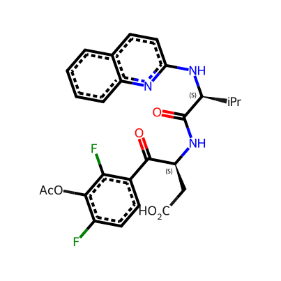 CC(=O)Oc1c(F)ccc(C(=O)[C@H](CC(=O)O)NC(=O)[C@@H](Nc2ccc3ccccc3n2)C(C)C)c1F